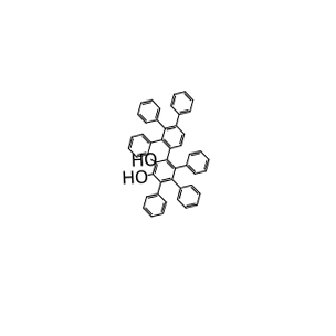 Oc1c(O)c(-c2ccc(-c3ccccc3)c(-c3ccccc3)c2-c2ccccc2)c(-c2ccccc2)c(-c2ccccc2)c1-c1ccccc1